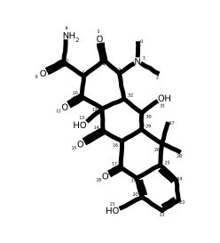 CN(C)C1C(=O)C(C(N)=O)C(=O)C2(O)C(=O)C3C(=O)c4c(O)cccc4C(C)(C)C3C(O)C12